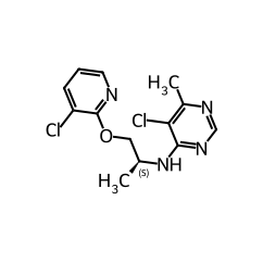 Cc1ncnc(N[C@@H](C)COc2ncccc2Cl)c1Cl